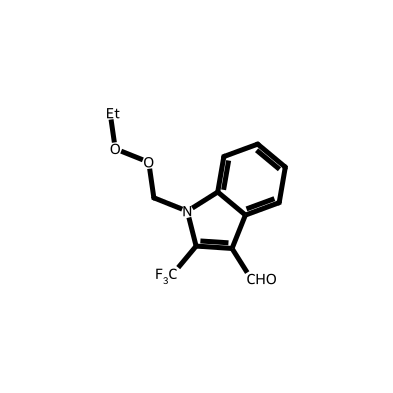 CCOOCn1c(C(F)(F)F)c(C=O)c2ccccc21